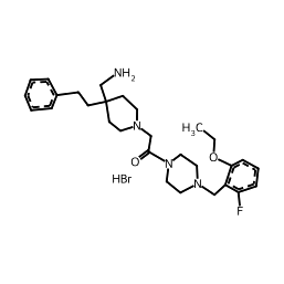 Br.CCOc1cccc(F)c1CN1CCN(C(=O)CN2CCC(CN)(CCc3ccccc3)CC2)CC1